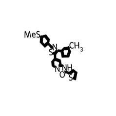 CSc1ccc(-c2nc(-c3cccc(C)c3)c(-c3ccnc(NC(=O)c4cccs4)c3)s2)cc1